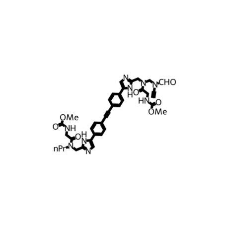 C#CN(C=O)CN(Cc1ncc(-c2ccc(C#Cc3ccc(-c4cnc(CN(CCC)C(=O)CNC(=O)OC)[nH]4)cc3)cc2)[nH]1)C(=O)CNC(=O)OC